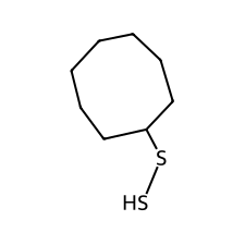 SSC1CCCCCCC1